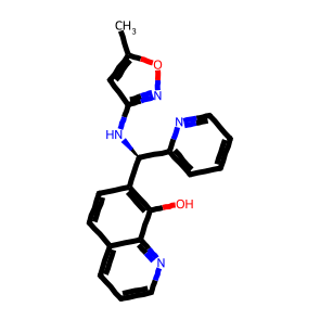 Cc1cc(N[C@@H](c2ccccn2)c2ccc3cccnc3c2O)no1